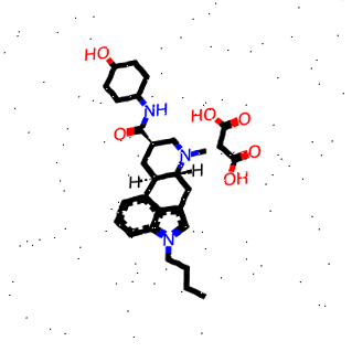 CCCCn1cc2c3c(cccc31)[C@H]1C[C@@H](C(=O)NC3CCC(O)CC3)CN(C)[C@@H]1C2.O=C(O)CC(=O)O